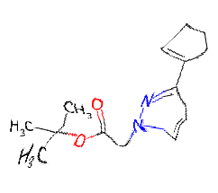 CC(C)(C)OC(=O)Cn1ccc(C2=CCCC2)n1